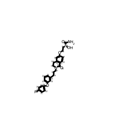 NC(=O)N(O)CCOc1ccc2c(c1)CCN(CCCc1cccc(Oc3ccc(F)cc3)c1)C2=O